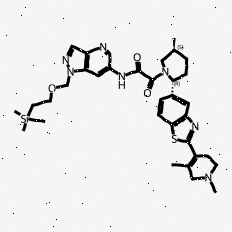 CC1=C(c2nc3cc([C@H]4CC[C@H](C)CN4C(=O)C(=O)Nc4cnc5cnn(COCC[Si](C)(C)C)c5c4)ccc3s2)CCN(C)C1